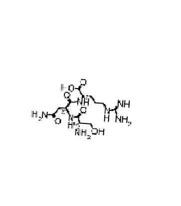 N=C(N)NCCC[C@H](NC(=O)[C@H](CC(N)=O)NC(=O)[C@@H](N)CO)C(=O)O